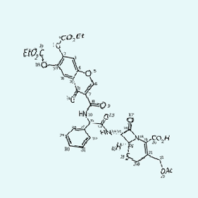 CCOC(=O)Oc1cc2occ(C(=O)NC(C(=O)N[C@@H]3C(=O)N4C(C(=O)O)=C(COC(C)=O)CS[C@@H]34)c3ccccc3)c(=O)c2cc1OC(=O)OCC